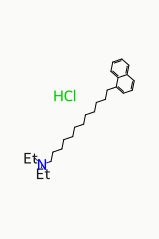 CCN(CC)CCCCCCCCCCCCc1cccc2ccccc12.Cl